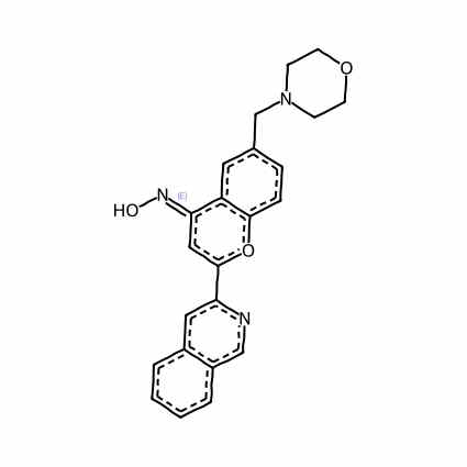 O/N=c1\cc(-c2cc3ccccc3cn2)oc2ccc(CN3CCOCC3)cc12